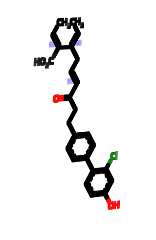 C/C=C(C/C=C/C(=O)CCc1ccc(-c2ccc(O)cc2Cl)cc1)\C(=C/C)C(=O)O